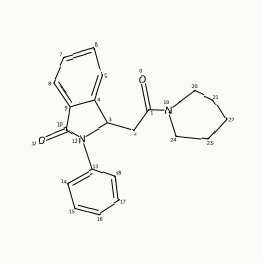 O=C(CC1c2ccccc2C(=O)N1c1ccccc1)N1CCCCC1